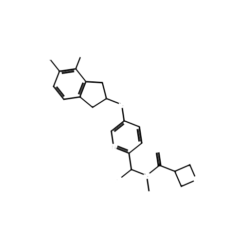 CN(C(=O)C1CSC1)C(c1ccc(NC2Cc3ccc(Cl)c(Cl)c3C2)cn1)C(F)(F)F